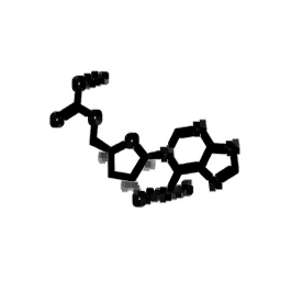 COC(=O)OC[C@@H]1C[C@@H](OC(C)=O)[C@H](n2cnc3ncnc-3c2SC)O1